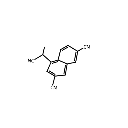 [CH2]C(C#N)c1cc(C#N)cc2cc(C#N)ccc12